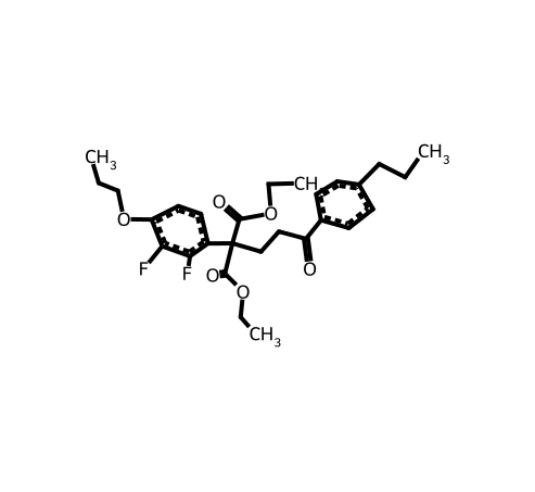 CCCOc1ccc(C(CCC(=O)c2ccc(CCC)cc2)(C(=O)OCC)C(=O)OCC)c(F)c1F